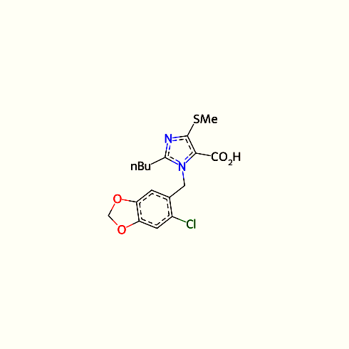 CCCCc1nc(SC)c(C(=O)O)n1Cc1cc2c(cc1Cl)OCO2